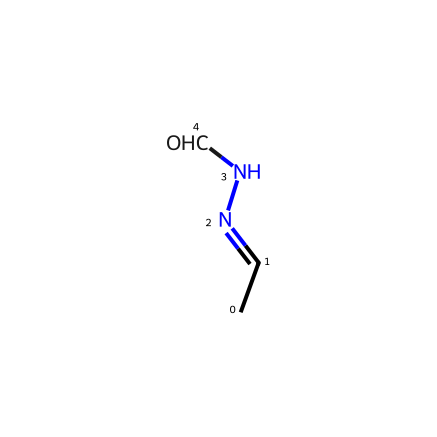 CC=NNC=O